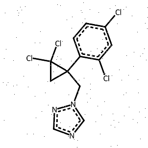 Clc1ccc(C2(Cn3cncn3)CC2(Cl)Cl)c(Cl)c1